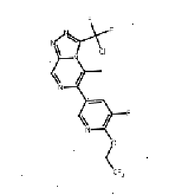 Cc1c(-c2cnc(OCC(F)(F)F)c(F)c2)ncc2nnc(C(F)(F)Cl)n12